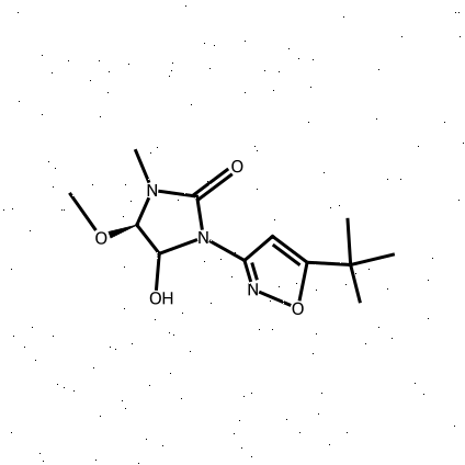 CO[C@@H]1C(O)N(c2cc(C(C)(C)C)on2)C(=O)N1C